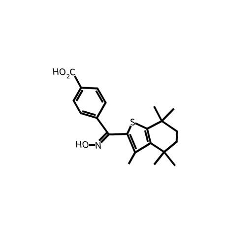 Cc1c(C(=NO)c2ccc(C(=O)O)cc2)sc2c1C(C)(C)CCC2(C)C